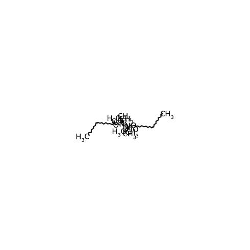 CCCCCCCC/C=C\CCCCCCCC(=O)OCCN(CCN(CCOC(=O)CCCCCCC/C=C\CCCCCCCC)C(=O)OC(C)(C)C)C(=O)OC(C)(C)C